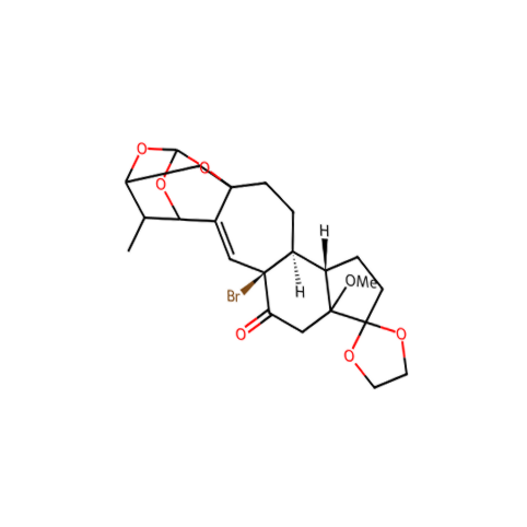 COC12CC(=O)[C@]3(Br)C=C4C5OC6OC(CC4(CC[C@H]3[C@@H]1CCC21OCCO1)O6)C5C